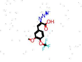 COc1cc(/C=C(/N=[N+]=[N-])C(=O)O)ccc1OC(F)(F)F